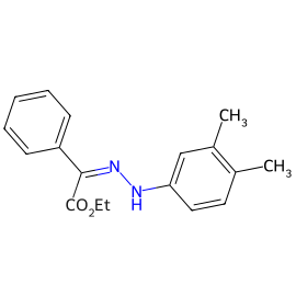 CCOC(=O)/C(=N\Nc1ccc(C)c(C)c1)c1ccccc1